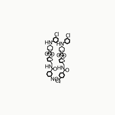 O=C(NCc1ccc(S(=O)(=O)N2CCC(Nc3cccc(Cl)c3)CC2)s1)c1ccc(Cl)cc1.O=C(NCc1ccc(S(=O)(=O)N2CCC(Nc3cccc(Cl)c3)CC2)s1)c1cccc([N+](=O)[O-])c1